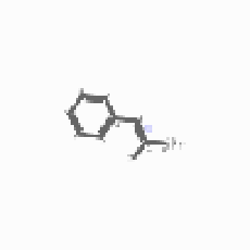 C[C](C)/C(C)=C/c1ccccc1